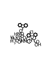 C[C@H](NC(=O)OCC1c2ccccc2-c2ccccc21)C(=O)N1[C@H](C(=O)N[C@@]2(Cc3ccc(Cl)cc3)CCCN(C(=O)C(CC(=O)O)Cc3ccccc3)C2)COC1(C)C